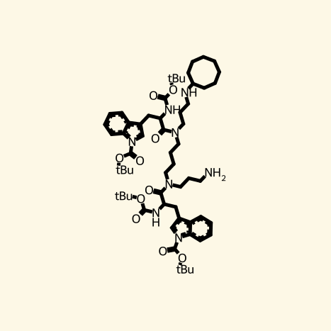 CC(C)(C)OC(=O)NC(Cc1cn(C(=O)OC(C)(C)C)c2ccccc12)C(=O)N(CCCN)CCCCN(CCCNC1CCCCCCC1)C(=O)C(Cc1cn(C(=O)OC(C)(C)C)c2ccccc12)NC(=O)OC(C)(C)C